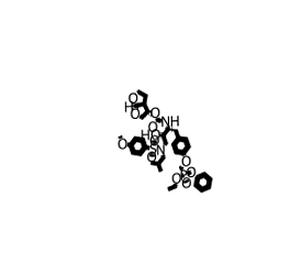 CCOP(=O)(COc1ccc(C[C@H](NC(=O)O[C@H]2CO[C@H]3OCCC32)[C@H](O)CN(CC(C)C)S(=O)(=O)c2ccc(OC)cc2)cc1)Oc1ccccc1